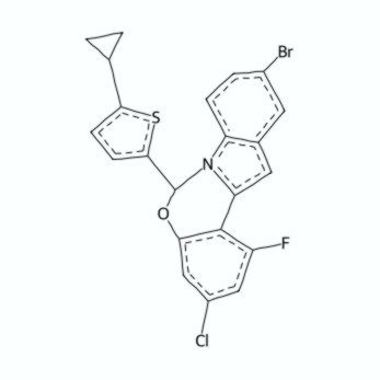 Fc1cc(Cl)cc2c1-c1cc3cc(Br)ccc3n1C(c1ccc(C3CC3)s1)O2